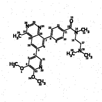 COc1cc(-c2cc(-c3ccc(C(=O)N(C)CCN(C)C)cc3)c3ncnc(C)c3c2)cnc1OC